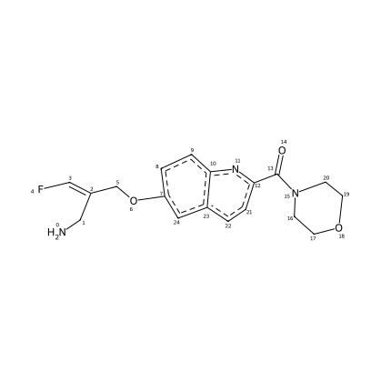 NC/C(=C\F)COc1ccc2nc(C(=O)N3CCOCC3)ccc2c1